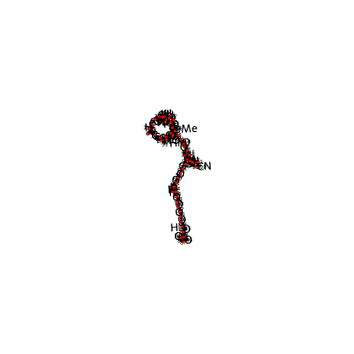 C=C1C[C@@H]2CC[C@@]34CC5O[C@@H]6C(O[C@H]7CCC(CC(=O)C[C@H]8[C@H](CC9O[C@@H](CCC1O2)C[C@@H](C)C9=C)OC(C[C@H](O)CNC(=O)OCc1ccc(N(CCOCCOCCOCCn2cc(COCCOCCOCCOCCNC(=O)CCN9C(=O)C=CC9=O)nn2)S(=O)(=O)c2ccc(C#N)cn2)cc1)[C@@H]8OC)O[C@@H]7[C@@H]6O3)[C@@H]5O4